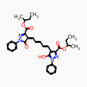 CCC(C)OC(=O)C1=NN(c2ccccc2)C(=O)\C1=C/C=C/C=C/c1c(C(=O)OC(C)CC)nn(-c2ccccc2)c1O